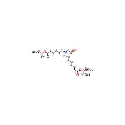 CCCCCCCCCCC(CC)OC(=O)CCCCCN(CCO)CCCCCCCC(=O)OC(CCCCCCCC)CCCCCCCC